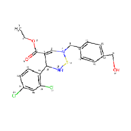 CCOC(=O)C1=CN(Cc2ccc(CO)cc2)SNC1c1ccc(Cl)cc1Cl